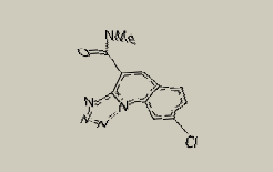 CNC(=O)c1cc2ccc(Cl)cc2n2nnnc12